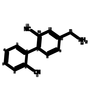 N#Cc1ccccc1-c1ccc(CN)cc1C#N